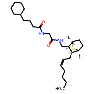 O=C(O)CCC/C=C\C[C@H]1[C@@H](CNC(=O)CNC(=O)CCCC2CCCCC2)[C@H]2CC[C@@H]1S2